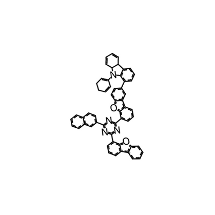 C1=CC2c3cccc(-c4ccc5oc6c(-c7nc(-c8ccc9ccccc9c8)nc(-c8cccc9c8oc8ccccc89)n7)cccc6c5c4)c3N(C3=CCCC=C3)C2C=C1